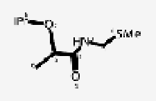 CSCNC(=O)C(C)OC(C)C